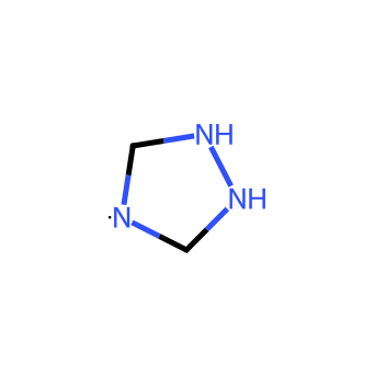 C1[N]CNN1